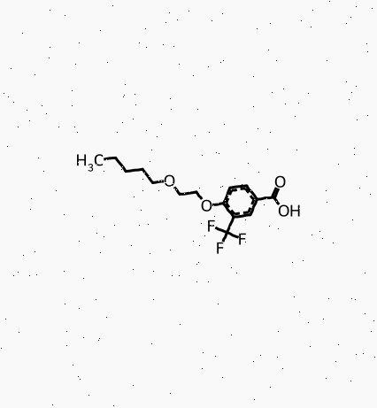 CCCCCOCCOc1ccc(C(=O)O)cc1C(F)(F)F